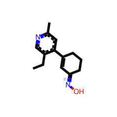 CCc1cnc(C)cc1C1=C/C(=N/O)CCC1